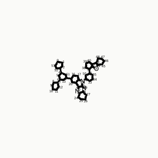 c1ccc(-c2cc(-c3ccccc3)cc(-c3ccc4c(c3)c3nc5ccccc5nc3n4-c3cccc(-c4cccc5c4oc4ccccc45)c3)c2)cc1